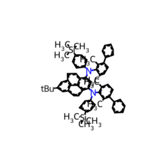 Cc1ccc(-c2ccccc2)c(C)c1N(c1ccc([Si](C)(C)C)cc1)c1cc(N(c2ccc([Si](C)(C)C)cc2)c2c(C)ccc(-c3ccccc3)c2C)c2ccc3cc(C(C)(C)C)cc4ccc1c2c43